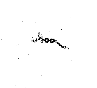 CCCCCCOc1ccc(-c2ccc(C(=O)OC(C)COC)cc2)cc1